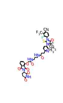 CC1(C)C(=O)N(c2ccc(C#N)c(C(F)(F)F)c2F)C(=S)N1c1ccc(CCC(=O)NCCCNC(=O)COc2cccc3c2C(=O)N(C2CCC(=O)NC2=O)C3=O)nc1